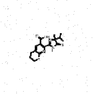 CC(C)C1(C)N=C(c2nc3c(cc2C(=O)O)CCCS3)NC1=O